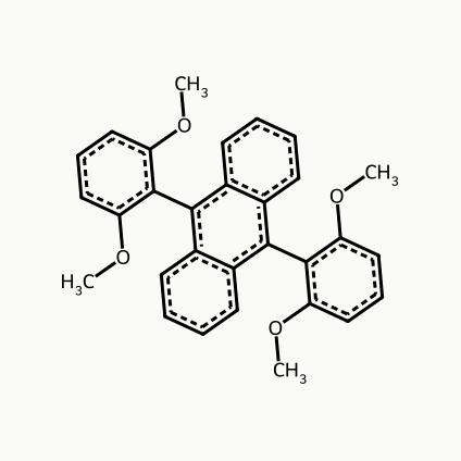 COc1cccc(OC)c1-c1c2ccccc2c(-c2c(OC)cccc2OC)c2ccccc12